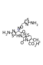 CC1=C(C(=O)O)N2C(=O)C(NC(=O)/C(=N\OCc3csc(N)n3)c3csc(N)n3)[C@H]2SC1